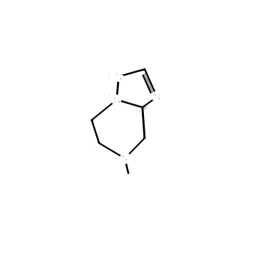 CC(C)N1CCN2NC=NC2C1